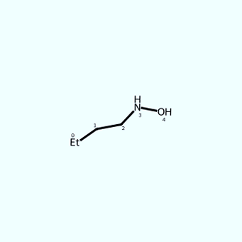 [CH2]CCCNO